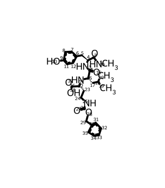 CNC(=O)[C@H](Cc1ccc(O)cc1)NC(=O)[C@H](CC(C)C)N[C@H](CCNC(=O)OCc1ccccc1)C(=O)O